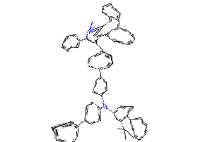 Cn1c(-c2ccccc2)c(-c2ccc(-c3ccc(N(c4ccc(-c5ccccc5)cc4)c4ccc5c(c4)C(C)(C)c4ccccc4-5)cc3)cc2)c2c3ccccc3c3ccccc3c21